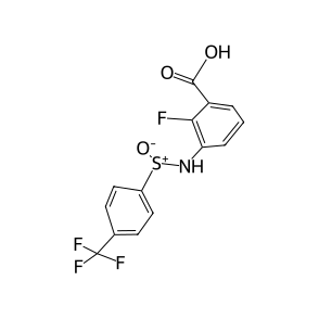 O=C(O)c1cccc(N[S+]([O-])c2ccc(C(F)(F)F)cc2)c1F